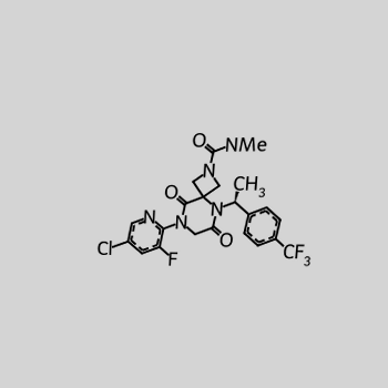 CNC(=O)N1CC2(C1)C(=O)N(c1ncc(Cl)cc1F)CC(=O)N2[C@@H](C)c1ccc(C(F)(F)F)cc1